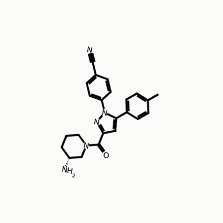 Cc1ccc(-c2cc(C(=O)N3CCC[C@@H](N)C3)nn2-c2ccc(C#N)cc2)cc1